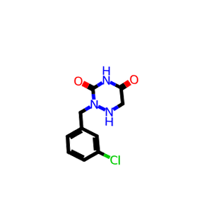 O=C1CNN(Cc2cccc(Cl)c2)C(=O)N1